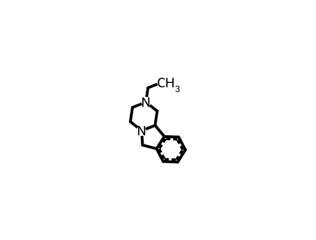 CCN1CCN2Cc3ccccc3C2C1